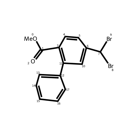 COC(=O)c1ccc(C(Br)Br)cc1-c1ccccc1